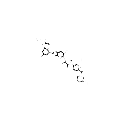 COc1cnc2c(-c3nc4cc(F)c(OC(C)C(C)N(C(=O)O)c5ccc(C(=O)N6CCCC(O)C6)nc5)nc4s3)cc(C)cc2n1